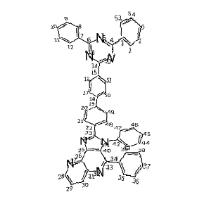 c1ccc(-c2nc(-c3ccccc3)nc(-c3ccc(-c4ccc(-c5nc6c7ncccc7nc(-c7ccccc7)c6n5-c5ccccc5)cc4)cc3)n2)cc1